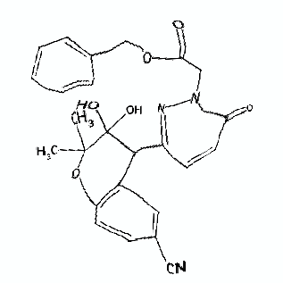 CC1(C)Oc2ccc(C#N)cc2C(c2ccc(=O)n(CC(=O)OCc3ccccc3)n2)C1(O)O